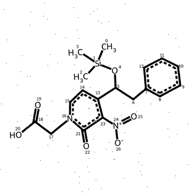 C[Si](C)(C)OC(Cc1ccccc1)c1ccn(CC(=O)O)c(=O)c1[N+](=O)[O-]